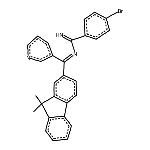 CC1(C)c2ccccc2-c2ccc(/C(=N/C(=N)c3ccc(Br)cc3)c3cccnc3)cc21